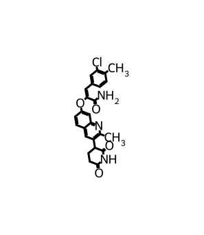 Cc1ccc(C=C(Oc2ccc3cc(C4CCC(=O)NC4=O)c(C)nc3c2)C(N)=O)cc1Cl